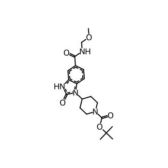 COCNC(=O)c1ccc2c(c1)[nH]c(=O)n2C1CCN(C(=O)OC(C)(C)C)CC1